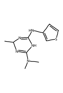 CC1N=C(Nc2ccsc2)NC(N(C)C)=N1